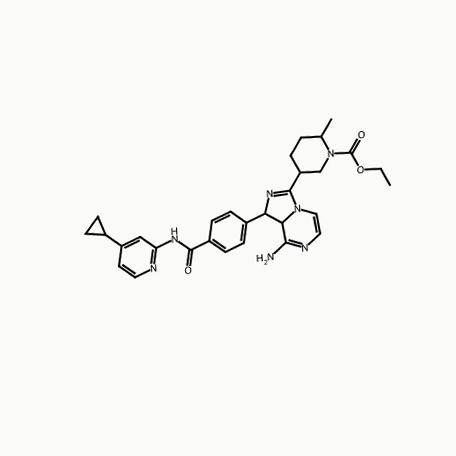 CCOC(=O)N1CC(C2=NC(c3ccc(C(=O)Nc4cc(C5CC5)ccn4)cc3)C3C(N)=NC=CN23)CCC1C